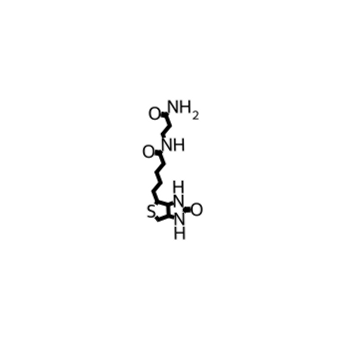 NC(=O)CCNC(=O)CCCCC1SCC2NC(=O)NC21